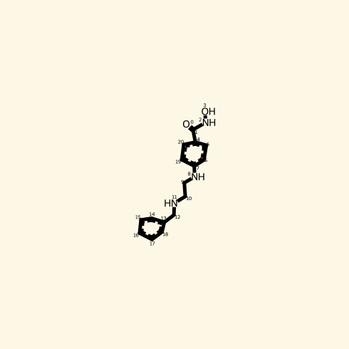 O=C(NO)c1ccc(NCCNCc2ccccc2)cc1